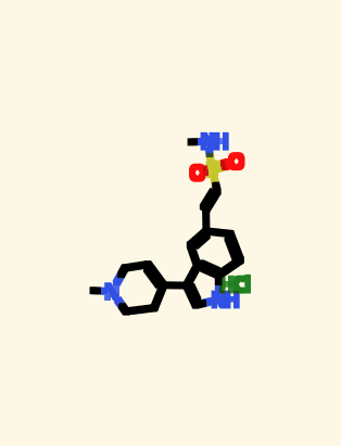 CNS(=O)(=O)C=Cc1ccc2[nH]cc(C3=CCN(C)CC3)c2c1.Cl